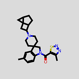 Cc1ccc2c(c1)C1(CCN(C3CC45CC4CCC35)CC1)CN2C(=O)c1snnc1C